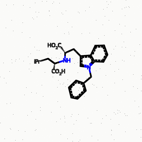 CC(C)C[C@H](N[C@@H](Cc1cn(Cc2ccccc2)c2ccccc12)C(=O)O)C(=O)O